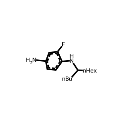 CCCCCCC(CCCC)Nc1ccc(N)cc1F